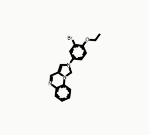 CCOc1ccc(N2C=C3C=Nc4ccccc4N3C2)cc1Br